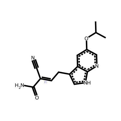 CC(C)Oc1cnc2[nH]cc(C/C=C(\C#N)C(N)=O)c2c1